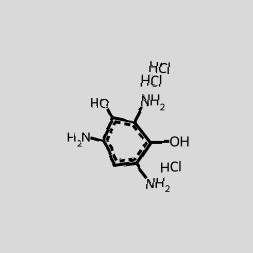 Cl.Cl.Cl.Nc1cc(N)c(O)c(N)c1O